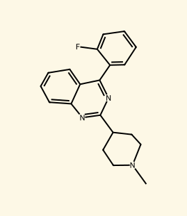 CN1CCC(c2nc(-c3ccccc3F)c3ccccc3n2)CC1